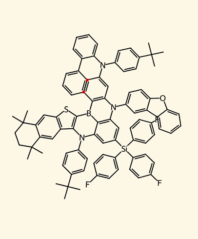 CC(C)(C)c1ccc(N(c2ccc3c(c2)N(c2ccc4oc5ccccc5c4c2)c2cc([Si](c4ccc(F)cc4)(c4ccc(F)cc4)c4ccc(F)cc4)cc4c2B3c2sc3cc5c(cc3c2N4c2ccc(C(C)(C)C)cc2)C(C)(C)CCC5(C)C)c2ccccc2-c2ccccc2)cc1